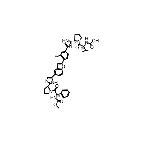 COC(=O)N[C@@H](C(=O)N1CCC[C@H]1c1ncc(-c2ccc3oc(-c4ccc(-c5c[nH]c([C@@H]6CCCN6C(=O)[C@@H](NC(=O)O)C(C)C)n5)cc4F)cc3c2)[nH]1)c1ccccc1